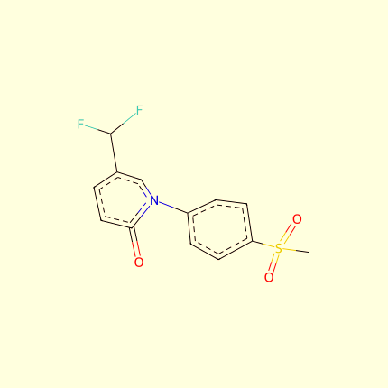 CS(=O)(=O)c1ccc(-n2cc(C(F)F)ccc2=O)cc1